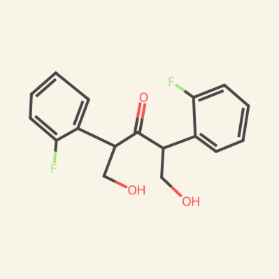 O=C(C(CO)c1ccccc1F)C(CO)c1ccccc1F